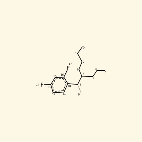 CCCCC(CCC)[C@H](C)c1ccc(F)cc1F